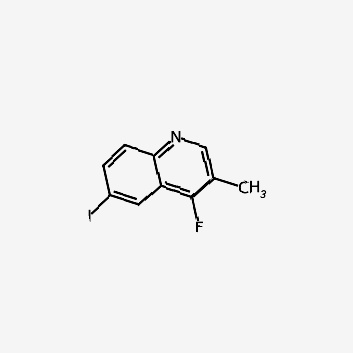 Cc1cnc2ccc(I)cc2c1F